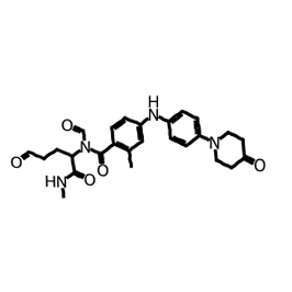 CNC(=O)C(CCC=O)N(C=O)C(=O)c1ccc(Nc2ccc(N3CCC(=O)CC3)cc2)cc1C